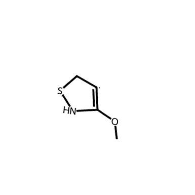 COC1=[C]CSN1